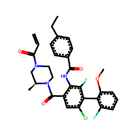 C=CC(=O)N1CCN(C(=O)c2cc(Cl)c(-c3c(F)cccc3OC)c(F)c2NC(=O)c2ccc(CC)cc2)[C@@H](C)C1